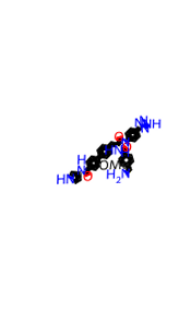 COc1cc(C(=O)N[C@@H]2CCNC2)ccc1-c1ccc(CC(NC(=O)C2CCC(CN)CC2)C(=O)Nc2ccc(-c3nn[nH]n3)cc2)cc1